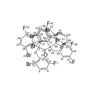 O=C(C(Cc1cc(F)ccc1Br)(c1cc(F)ccc1Br)c1cc(F)ccc1Br)C(Cc1cc(F)ccc1Br)(c1cc(F)ccc1Br)c1cc(F)ccc1Br